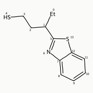 CCC(CCS)c1nc2ccccc2s1